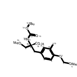 COCOc1ccc(C[C@](COC)(NC(=O)OC(C)(C)C)C(=O)O)cc1I